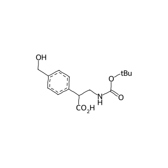 CC(C)(C)OC(=O)NCC(C(=O)O)c1ccc(CO)cc1